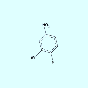 CC(C)c1cc([N+](=O)[O-])ccc1F